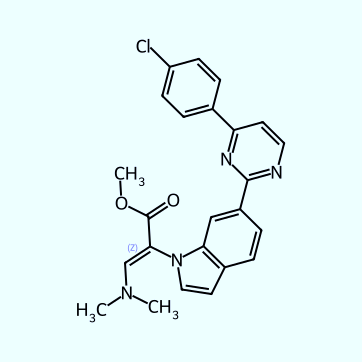 COC(=O)/C(=C/N(C)C)n1ccc2ccc(-c3nccc(-c4ccc(Cl)cc4)n3)cc21